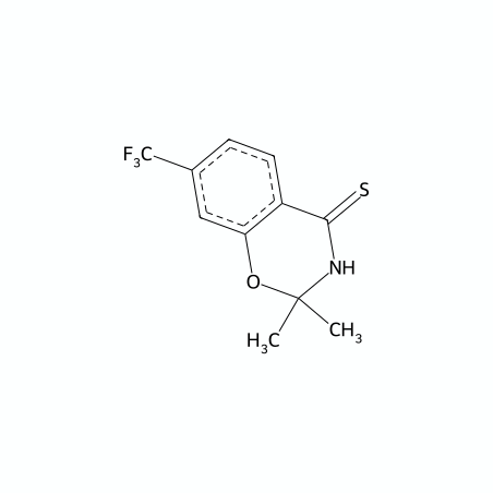 CC1(C)NC(=S)c2ccc(C(F)(F)F)cc2O1